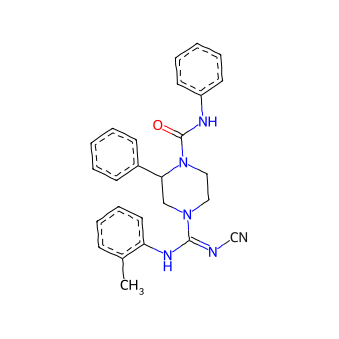 Cc1ccccc1N/C(=N/C#N)N1CCN(C(=O)Nc2ccccc2)C(c2ccccc2)C1